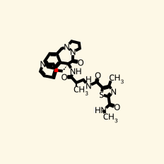 CNC(=O)c1nc(C)c(C(=O)NC[C@@H](C)C(=O)N[C@]2(Cc3cccnc3)C(=O)N3CCCN3Cc3ccccc32)s1